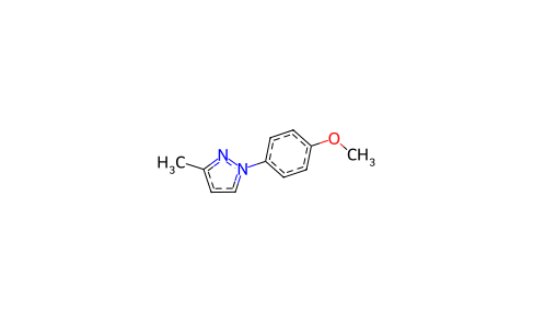 COc1ccc(-n2ccc(C)n2)cc1